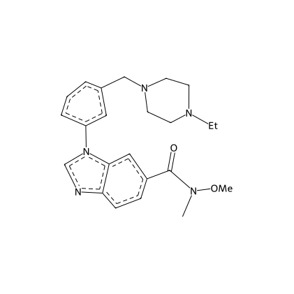 CCN1CCN(Cc2cccc(-n3cnc4ccc(C(=O)N(C)OC)cc43)c2)CC1